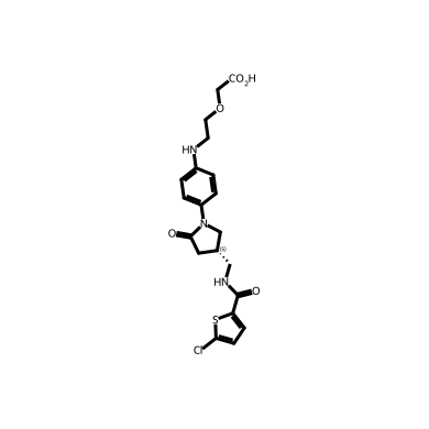 O=C(O)COCCNc1ccc(N2C[C@H](CNC(=O)c3ccc(Cl)s3)CC2=O)cc1